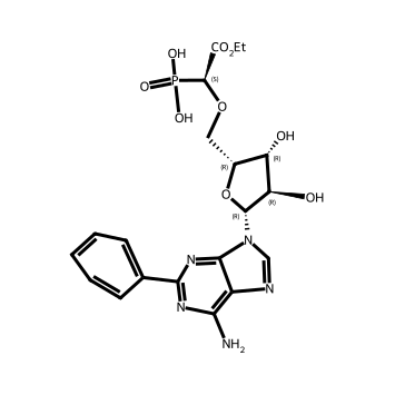 CCOC(=O)[C@@H](OC[C@H]1O[C@@H](n2cnc3c(N)nc(-c4ccccc4)nc32)[C@H](O)[C@H]1O)P(=O)(O)O